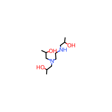 CC(O)CNCCN(CC(C)O)CC(C)O